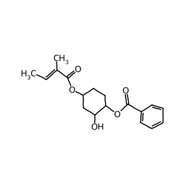 CC=C(C)C(=O)OC1CCC(OC(=O)c2ccccc2)C(O)C1